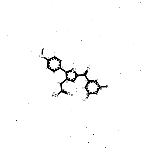 COc1ccc(-c2sc(C(=O)c3cc(F)cc(F)c3)cc2CC(=O)O)cc1